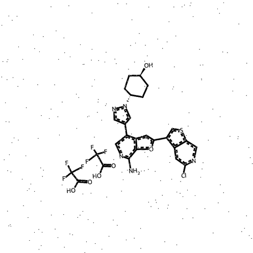 Nc1ncc(-c2cnn([C@H]3CC[C@H](O)CC3)c2)c2cc(-c3csc4cnc(Cl)cc34)oc12.O=C(O)C(F)(F)F.O=C(O)C(F)(F)F